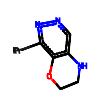 CC(C)c1nncc2c1OCCN2